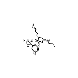 CCCNC1C[C@@H](CCCCOC)S(=O)(=O)C1.NS(=O)(=O)C1=CC=CNS1